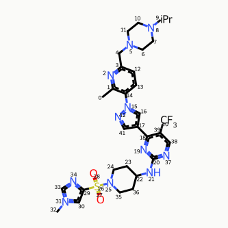 Cc1nc(CN2CCN(C(C)C)CC2)ccc1-n1cc(-c2nc(NC3CCN(S(=O)(=O)c4cn(C)cn4)CC3)ncc2C(F)(F)F)cn1